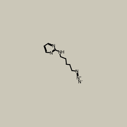 [N-]=[N+]=NCCCCCNc1ncccn1